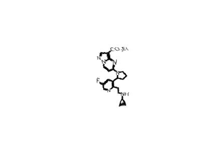 CCOC(=O)c1cnn2ccc(N3CCCC3c3cc(F)cnc3CCNC3CC3)nc12